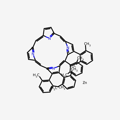 Cc1cccc(C)c1C1=CC2=CC3=NC(=CC4=NC(=CC5=NC(=C(c6c(C)cccc6C)C1=N2)C(c1c(C)cccc1C)=C5c1c(C)cccc1C)C=C4)C=C3.[Zn]